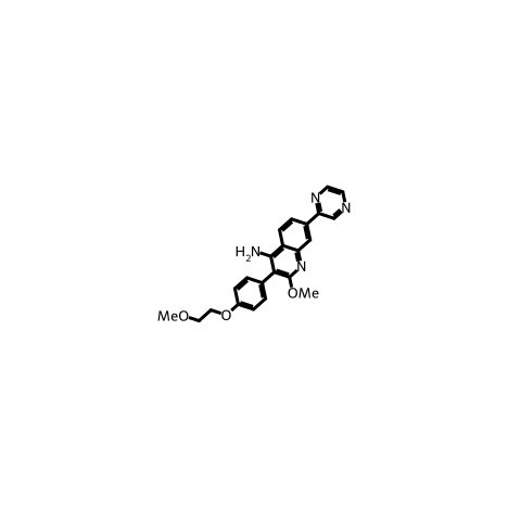 COCCOc1ccc(-c2c(OC)nc3cc(-c4cnccn4)ccc3c2N)cc1